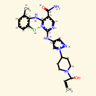 C=CC(O)N1CCC(n2cc(Nc3ncc(C(N)=O)c(Nc4c(C)cccc4Cl)n3)cn2)CC1